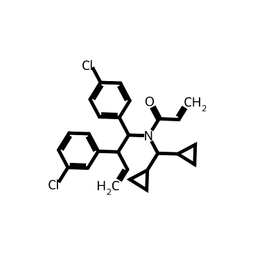 C=CC(=O)N(C(c1ccc(Cl)cc1)C(C=C)c1cccc(Cl)c1)C(C1CC1)C1CC1